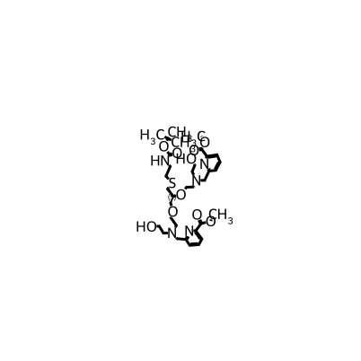 COC(=O)c1cccc(CN(CCO)CCOC[C@@H](CSCCNC(=O)OC(C)(C)C)OCCN(CCO)Cc2cccc(C(=O)OC)n2)n1